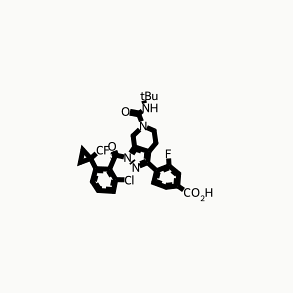 CC(C)(C)NC(=O)N1CCc2c(-c3ccc(C(=O)O)cc3F)nn(C(=O)c3c(Cl)cccc3C3(C(F)(F)F)CC3)c2C1